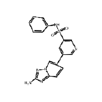 Nc1nc2ccc(-c3cncc(S(=O)(=O)Nc4ccccc4)c3)cn2n1